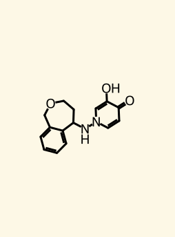 O=c1ccn(NC2CCOCc3ccccc32)cc1O